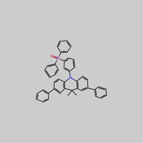 CC1(C)c2cc(-c3ccccc3)ccc2N(c2cccc(P(=O)(c3ccccc3)c3ccccc3)c2)c2ccc(-c3ccccc3)cc21